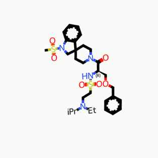 CCN(CCS(=O)(=O)N[C@H](COCc1ccccc1)C(=O)N1CCC2(CC1)CN(S(C)(=O)=O)c1ccccc12)C(C)C